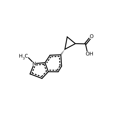 Cn1ccc2ccc([C@@H]3CC3C(=O)O)cc21